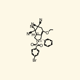 CCOC1=C2[C@H](c3ccccc3)N(S(=O)(=O)c3ccc(Br)cc3)C[C@H]2C(C#N)(C#N)C(C#N)(C#N)C1